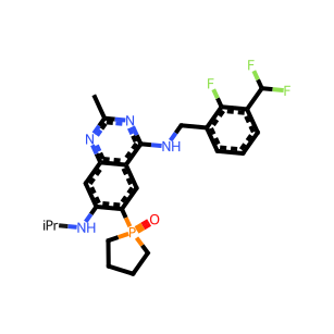 Cc1nc(NCc2cccc(C(F)F)c2F)c2cc(P3(=O)CCCC3)c(NC(C)C)cc2n1